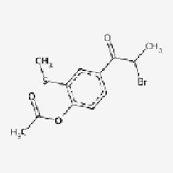 CSc1cc(C(=O)C(C)Br)ccc1OC(C)=O